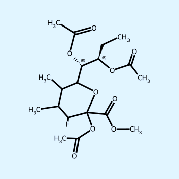 CC[C@@H](OC(C)=O)[C@@H](OC(C)=O)C1OC(OC(C)=O)(C(=O)OC)C(F)C(C)C1C